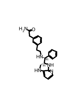 NC(=O)Cc1cccc(CCN[C@H](c2ccccc2)[C@H]2CNc3cccnc3N2)c1